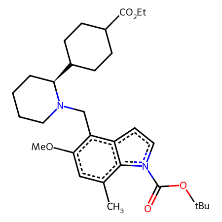 CCOC(=O)C1CCC([C@@H]2CCCCN2Cc2c(OC)cc(C)c3c2ccn3C(=O)OC(C)(C)C)CC1